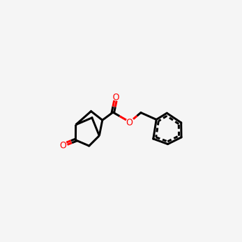 O=C1CC2CC1CC2C(=O)OCc1ccccc1